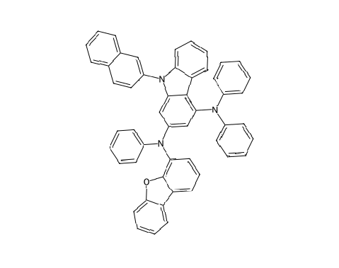 c1ccc(N(c2cc(N(c3ccccc3)c3ccccc3)c3c4ccccc4n(-c4ccc5ccccc5c4)c3c2)c2cccc3c2oc2ccccc23)cc1